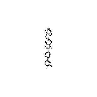 Cc1ccc(-c2ccc(-c3nc4ccn(Cc5nnco5)cc-4n3)cc2)cc1C